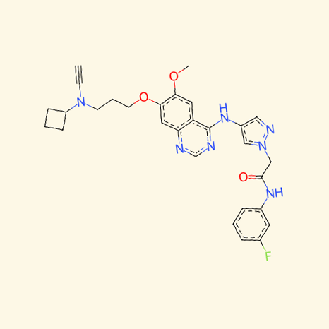 C#CN(CCCOc1cc2ncnc(Nc3cnn(CC(=O)Nc4cccc(F)c4)c3)c2cc1OC)C1CCC1